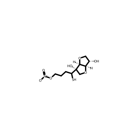 O=[N+]([O-])OCCCC(S)[C@]1(O)CO[C@@H]2[C@@H](O)CO[C@@H]21